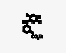 CCOC(=O)C=C1CCC[C@H](NC2=NC(Cl)NC=C2F)C1